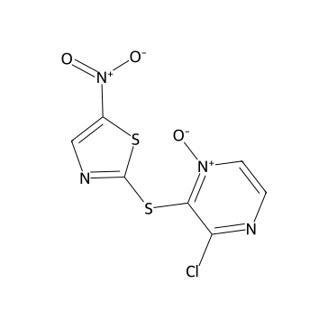 O=[N+]([O-])c1cnc(Sc2c(Cl)ncc[n+]2[O-])s1